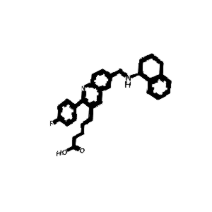 O=C(O)CCCCc1cc2cc(CN[C@H]3CCCc4ccccc43)ccc2nc1-c1ccc(F)cc1